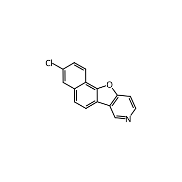 Clc1ccc2c(ccc3c4cnccc4oc23)c1